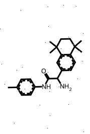 Cc1ccc(NC(=O)C(N)c2ccc3c(c2)C(C)(C)CCC3(C)C)cc1